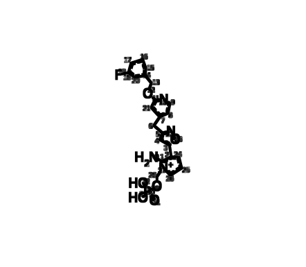 Nc1c(-c2cc(Cc3ccnc(OCc4cccc(F)c4)c3)no2)ccc[n+]1COP(=O)(O)O